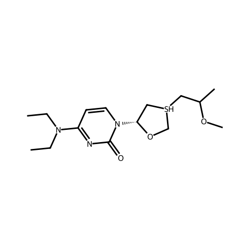 CCN(CC)c1ccn([C@@H]2C[SH](CC(C)OC)CO2)c(=O)n1